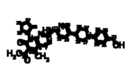 CC(=O)c1c(C)c2cnc(Nc3ccc(C4CCN(c5ccc(CO)cc5)CC4)cn3)nc2n(C2CCCC2)c1=O